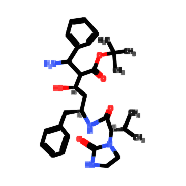 CC(C)[C@@H](C(=O)N[C@@H](Cc1ccccc1)C[C@@H](O)C(C(=O)OC(C)(C)C)C(N)c1ccccc1)N1CCNC1=O